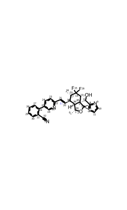 C[C@H]1OC(=O)[C@]2(C(O)c3nccs3)CC(F)(F)[C@@H](C)[C@H](/C=C/c3ccc(-c4ccccc4C#N)cn3)[C@H]12